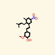 COc1cc(/C=C/c2cc([N+](=O)[O-])cc(C)c2CC=C(C)C)ccc1O